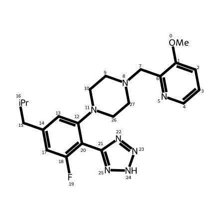 COc1cccnc1CN1CCN(c2cc(CC(C)C)cc(F)c2-c2nn[nH]n2)CC1